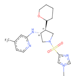 Cn1cnc(S(=O)(=O)N2C[C@H](Nc3cc(C(F)(F)F)ccn3)[C@@H](C3CCCCO3)C2)c1